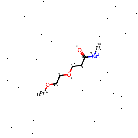 CCCOCCOCCC(=O)NCC